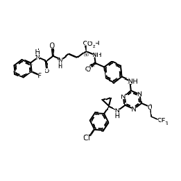 O=C(NCC[C@H](NC(=O)c1ccc(Nc2nc(NC3(c4ccc(Cl)cc4)CC3)nc(OCC(F)(F)F)n2)cc1)C(=O)O)C(=O)Nc1ccccc1F